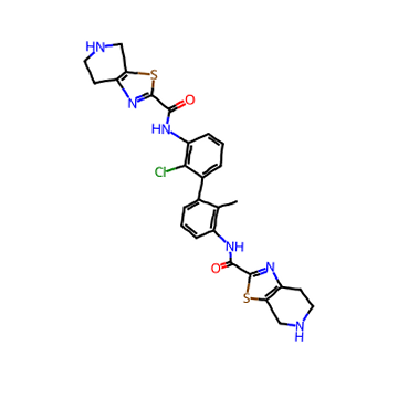 Cc1c(NC(=O)c2nc3c(s2)CNCC3)cccc1-c1cccc(NC(=O)c2nc3c(s2)CNCC3)c1Cl